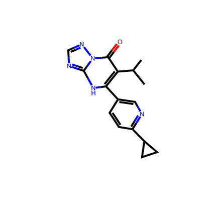 CC(C)c1c(-c2ccc(C3CC3)nc2)[nH]c2ncnn2c1=O